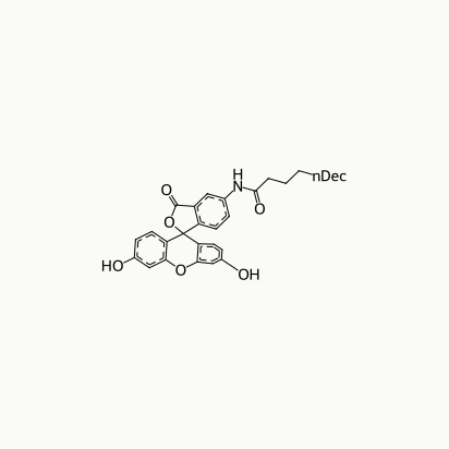 CCCCCCCCCCCCCC(=O)Nc1ccc2c(c1)C(=O)OC21c2ccc(O)cc2Oc2cc(O)ccc21